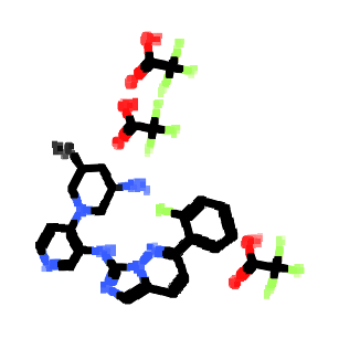 C[C@H]1C[C@@H](N)CN(c2ccncc2Nc2ncc3ccc(-c4ccccc4F)nn23)C1.O=C(O)C(F)(F)F.O=C(O)C(F)(F)F.O=C(O)C(F)(F)F